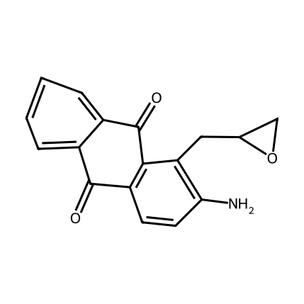 Nc1ccc2c(c1CC1CO1)C(=O)c1ccccc1C2=O